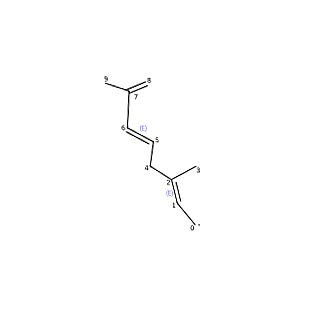 [CH2]/C=C(\C)C/C=C/C(=C)C